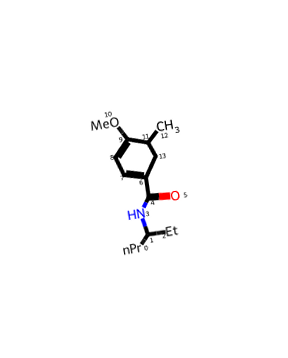 CCCC(CC)NC(=O)C1=CC=C(OC)C(C)C1